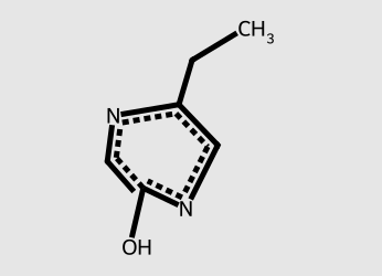 CCc1cnc(O)cn1